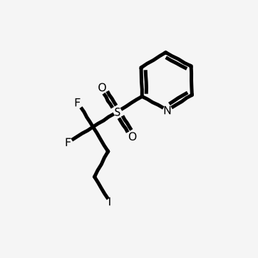 O=S(=O)(c1ccccn1)C(F)(F)CCI